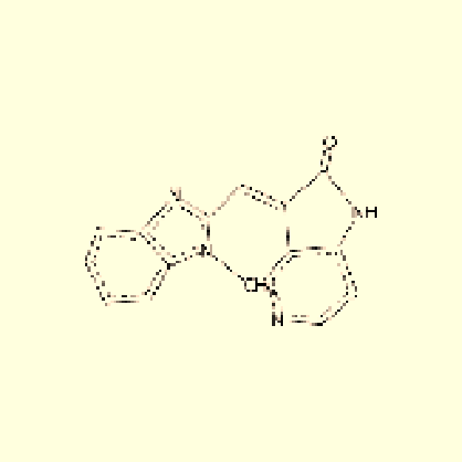 Cn1c(C=C2C(=O)Nc3ccncc32)nc2ccccc21